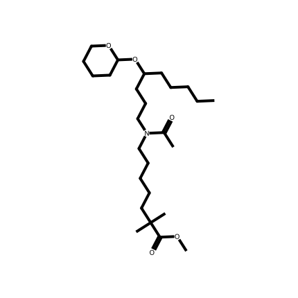 CCCCCC(CCCN(CCCCCC(C)(C)C(=O)OC)C(C)=O)OC1CCCCO1